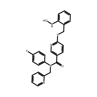 O=C(c1ccc(SCc2ccccc2BO)nc1)N(Cc1ccccn1)c1ccc(F)cc1